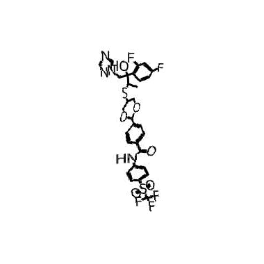 CC(SC1COC(c2ccc(C(=O)Nc3ccc(S(=O)(=O)C(F)(F)F)cc3)cc2)OC1)C(O)(Cn1cncn1)c1ccc(F)cc1F